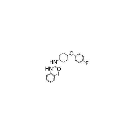 O=C(Nc1ccccc1I)NC1CCC(Oc2ccc(F)cc2)CC1